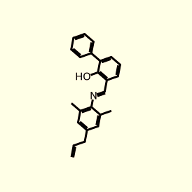 C=CCc1cc(C)c(/N=C/c2cccc(-c3ccccc3)c2O)c(C)c1